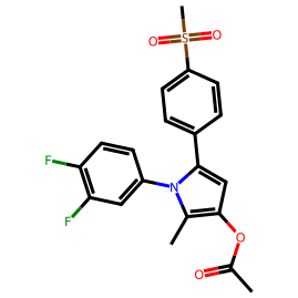 CC(=O)Oc1cc(-c2ccc(S(C)(=O)=O)cc2)n(-c2ccc(F)c(F)c2)c1C